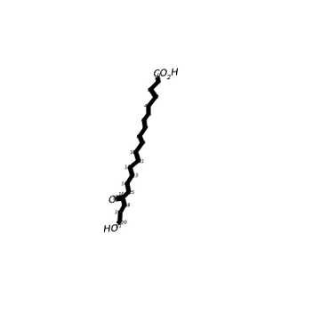 O=C(O)CCCCCCCCCCCCCCCC(=O)CCCO